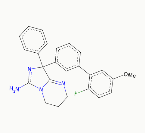 COc1ccc(F)c(-c2cccc(C3(c4ccccc4)N=C(N)N4CCCN=C43)c2)c1